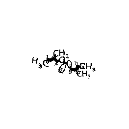 CC=C(C)COC(=O)OCC(C)=CC